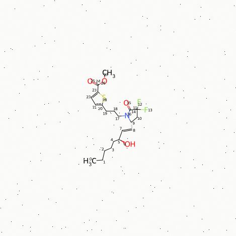 CCCCC[C@H](O)C=C[C@H]1CC(F)(F)C(=O)N1CCCc1ccc(C(=O)OC)s1